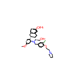 COc1ccc([C@@H]2CCc3cc(O)ccc3C2)c(N(CCO)Cc2ccc(OCCN3CCCC3)c(F)c2)c1